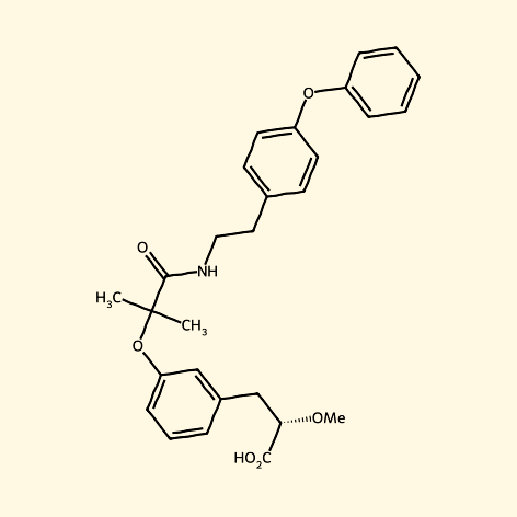 CO[C@@H](Cc1cccc(OC(C)(C)C(=O)NCCc2ccc(Oc3ccccc3)cc2)c1)C(=O)O